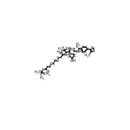 Cc1ncsc1-c1ccc(C(C)NC(=O)[C@@H]2C[C@@H](O)CN2C(=O)C(NC(=O)CCOCCOCCC(=O)OC(C)(C)C)C(C)(C)C)cc1